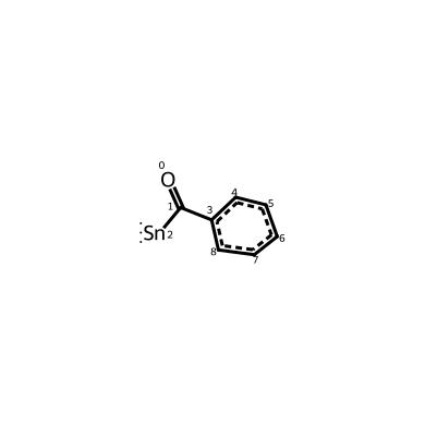 O=[C]([Sn])c1ccccc1